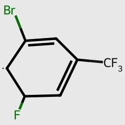 FC1[CH]C(Br)=CC(C(F)(F)F)=C1